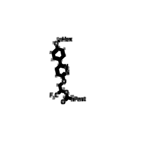 CCCCCCOc1ccc(-c2ccc(OCC(OC(=O)CCCCC)C(F)(F)F)nn2)cc1